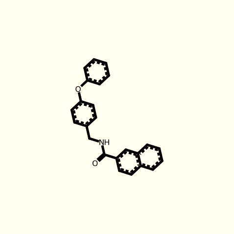 O=C(NCc1ccc(Oc2ccccc2)cc1)c1ccc2ccccc2c1